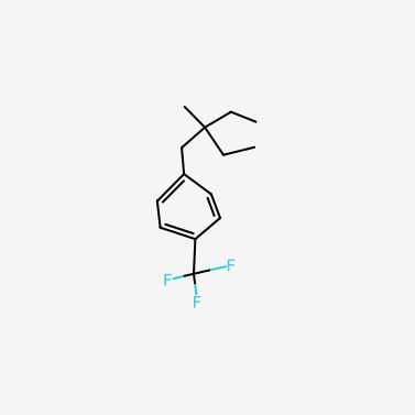 CCC(C)(CC)Cc1ccc(C(F)(F)F)cc1